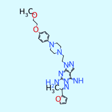 COCCOc1ccc(N2CCN(CCn3ncc4c(=N)n(/N=C(\C)c5ccco5)c(N)nc43)CC2)cc1